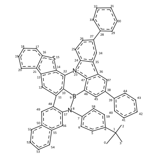 CC(C)(C)c1ccc(N2B3c4c(cc5c(sc6ccccc65)c4-n4c5ccc(-c6ccccc6)cc5c5cc(-c6ccccc6)cc3c54)-c3cc4ccccc4cc32)cc1